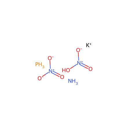 N.O=[N+]([O-])O.O=[N+]([O-])[O-].P.[K+]